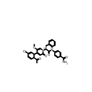 COc1cn([C@@H](Cc2ccccc2)C(=O)Nc2ccc(C(N)=O)cc2)c(=O)cc1C1C=C(Cl)C=CC1C(C)=O